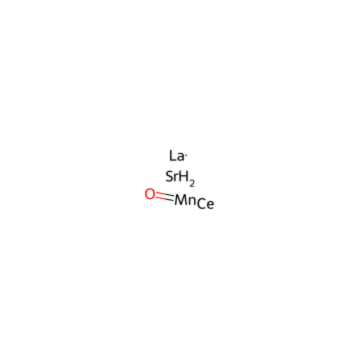 [Ce].[La].[O]=[Mn].[SrH2]